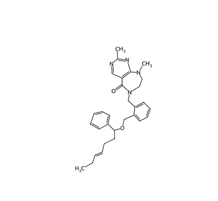 CC/C=C/CCC(OCc1ccccc1CN1CCN(C)c2nc(C)ncc2C1=O)c1ccccc1